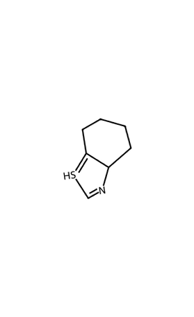 C1=NC2CCCCC2=[SH]1